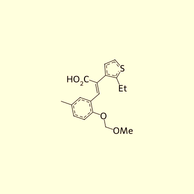 CCc1sccc1C(=Cc1cc(C)ccc1OCOC)C(=O)O